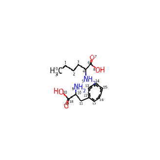 CCCCC(N)C(=O)O.NC(Cc1ccccc1)C(=O)O